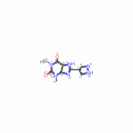 CCCCn1c(=O)c2[nH]c(-c3cn[nH]c3)nc2n(C)c1=O